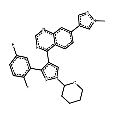 Cn1cc(-c2ccc3c(-c4cn(C5CCCCO5)nc4-c4cc(F)ccc4F)ncnc3c2)cn1